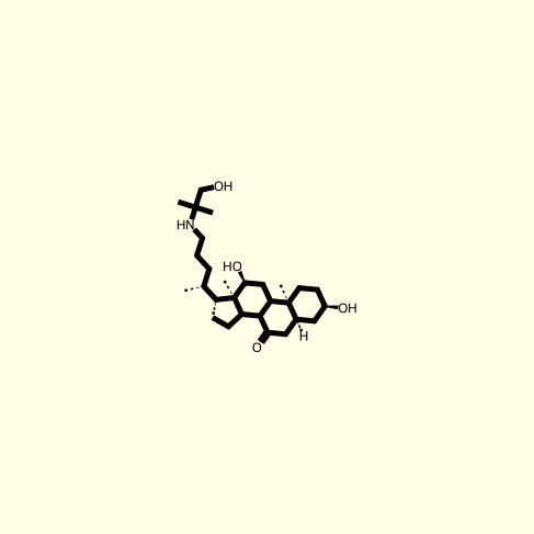 C[C@H](CCCNC(C)(C)CO)[C@H]1CCC2C3C(=O)C[C@@H]4C[C@H](O)CC[C@]4(C)C3C[C@H](O)[C@@]21C